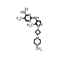 CCNc1nc(Nc2cnn([C@H]3C[C@@H](N4CCN(C)CC4)C3)c2C)ncc1C(F)(F)F